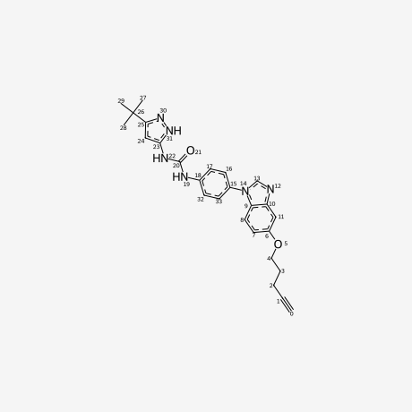 C#CCCCOc1ccc2c(c1)ncn2-c1ccc(NC(=O)Nc2cc(C(C)(C)C)n[nH]2)cc1